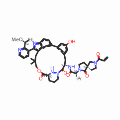 C=CC(=O)N1CC[C@]2(CCN([C@H](C(=O)N[C@H]3Cc4cc(O)cc(c4)-c4ccc5c(c4)c(c(-c4cccnc4[C@H](C)OC)n5CC)CC(C)(C)COC(=O)[C@@H]4CCCN(N4)C3=O)C(C)C)C2=O)C1